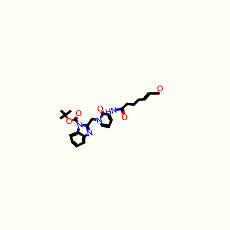 CC(C)(C)OC(=O)n1c(Cn2cccc(NC(=O)CCC/C=C/C=O)c2=O)nc2ccccc21